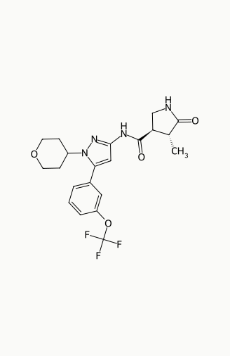 C[C@H]1C(=O)NC[C@@H]1C(=O)Nc1cc(-c2cccc(OC(F)(F)F)c2)n(C2CCOCC2)n1